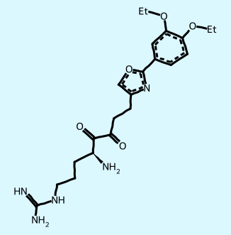 CCOc1ccc(-c2nc(CCC(=O)C(=O)[C@@H](N)CCCNC(=N)N)co2)cc1OCC